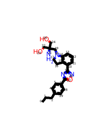 CCCc1ccc(-c2nc(-c3cccc4c3CCN4CC(N)(CO)CO)no2)cc1